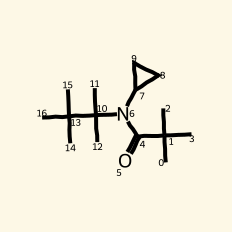 CC(C)(C)C(=O)N(C1CC1)C(C)(C)C(C)(C)C